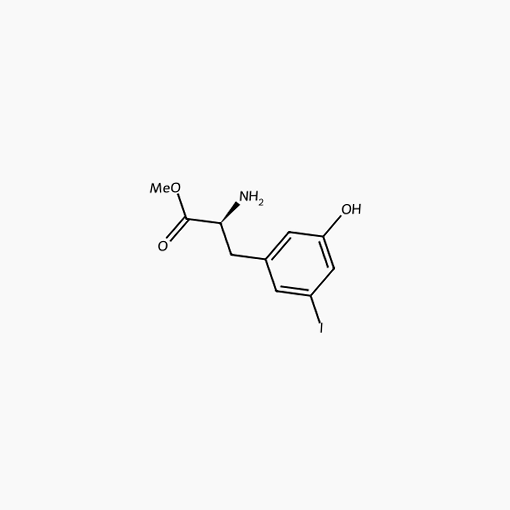 COC(=O)[C@@H](N)Cc1cc(O)cc(I)c1